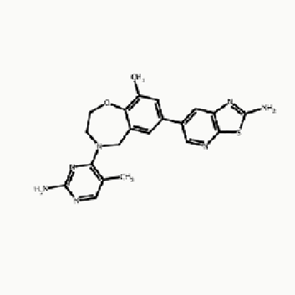 Cc1cnc(N)nc1N1CCOc2c(C)cc(-c3cnc4sc(N)nc4c3)cc2C1